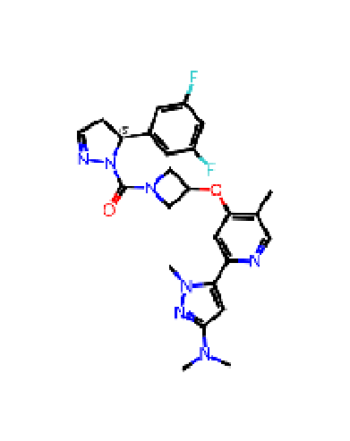 Cc1cnc(-c2cc(N(C)C)nn2C)cc1OC1CN(C(=O)N2N=CC[C@H]2c2cc(F)cc(F)c2)C1